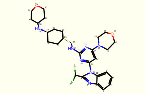 FC(F)c1nc2ccccc2n1-c1cc(N2CCOCC2)nc(NC[C@H]2CC[C@H](NC3CCOCC3)CC2)n1